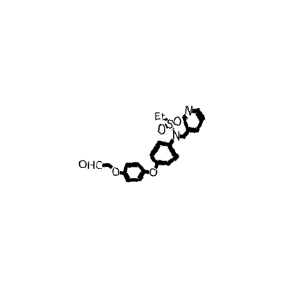 CCS(=O)(=O)N(Cc1cccnc1)c1ccc(Oc2ccc(OCC=O)cc2)cc1